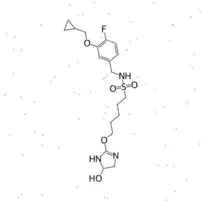 C[C@@H](NS(=O)(=O)CCCCCOC1=NCC(O)N1)c1ccc(F)c(OCC2CC2)c1